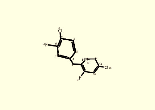 FC1=C(Cc2ccc(Cl)c(F)c2)NCC(Cl)=C1